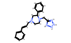 C(=Cc1ccccc1)CN1CCN(CC2=NN=N[N]2)C(c2ccccc2)C1